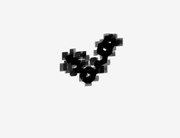 CC(C)(NC(=O)c1cc(NC(=O)Cc2ccc3cn[nH]c3c2)ccn1)C(F)(F)F